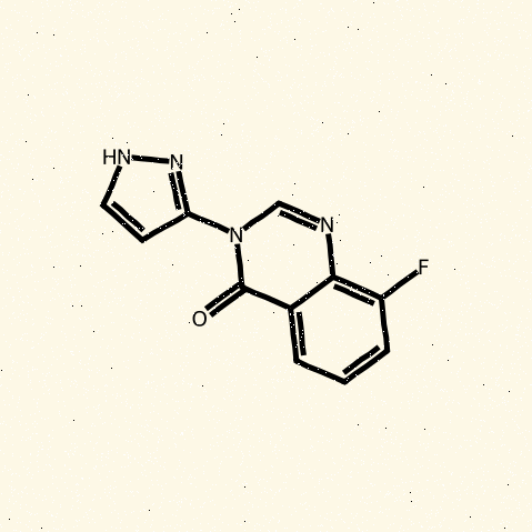 O=c1c2cccc(F)c2ncn1-c1cc[nH]n1